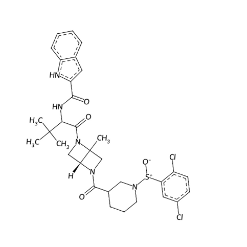 CC(C)(C)C(NC(=O)c1cc2ccccc2[nH]1)C(=O)N1C[C@H]2N(C(=O)C3CCCN([S+]([O-])c4cc(Cl)ccc4Cl)C3)CC21C